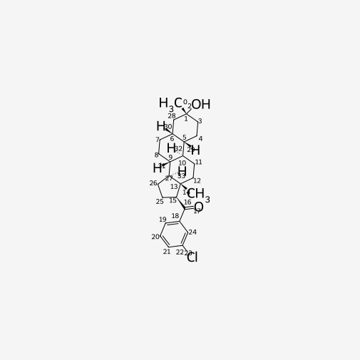 C[C@@]1(O)CC[C@H]2[C@H](CC[C@@H]3[C@@H]2CC[C@]2(C)[C@@H](C(=O)c4cccc(Cl)c4)CC[C@@H]32)C1